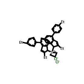 CCC1=Cc2c(-c3ccc(CC)cc3)cccc2[CH]1[Ti+2]1([CH]2C(CC)=Cc3c(-c4ccc(CC)cc4)cccc32)[CH2]C[CH2]1.[Cl-].[Cl-]